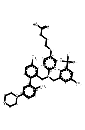 Cc1cc(CN(Cc2cc(C)ccc2-c2cc(N3CCOCC3)ccc2C)c2ncc(OCCCC(=O)O)cn2)cc(C(F)(F)F)c1